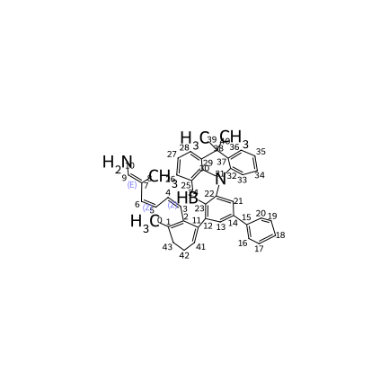 CC1=C(\C=C/C=C\C(C)=C\N)C(c2cc(-c3ccccc3)cc3c2Bc2cccc4c2N3c2ccccc2C4(C)C)=CCC1